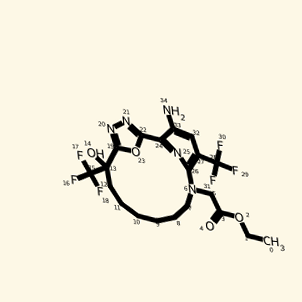 CCOC(=O)CN1CCCCCCC(O)(C(F)(F)F)c2nnc(o2)-c2nc1c(C(F)(F)F)cc2N